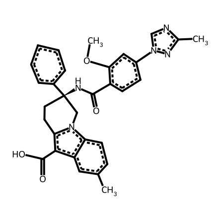 COc1cc(-n2cnc(C)n2)ccc1C(=O)N[C@]1(c2ccccc2)CCc2c(C(=O)O)c3cc(C)ccc3n2C1